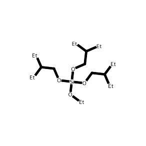 CCO[Si](OCC(CC)CC)(OCC(CC)CC)OCC(CC)CC